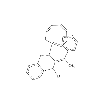 CCC1/C(=C(\C)c2ccpcc2)C(/C2=C/CC#C/C=C\C2)Cc2ccccc21